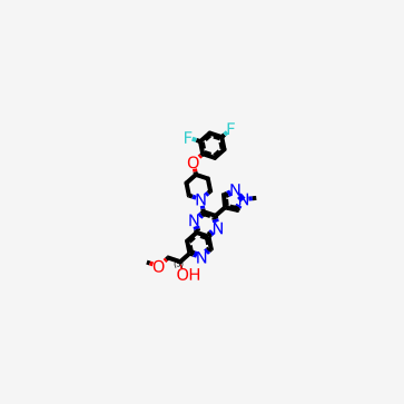 COC[C@@H](O)c1cc2nc(N3CCC(Oc4ccc(F)cc4F)CC3)c(-c3cnn(C)c3)nc2cn1